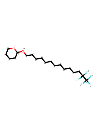 FC(F)(F)C(F)(F)CCCCCCCCCCCCOC1CCCCO1